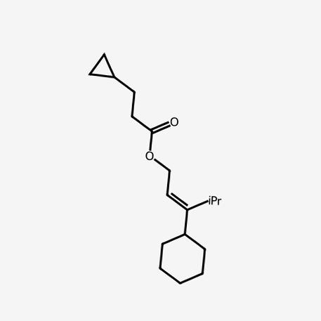 CC(C)C(=CCOC(=O)CCC1CC1)C1CCCCC1